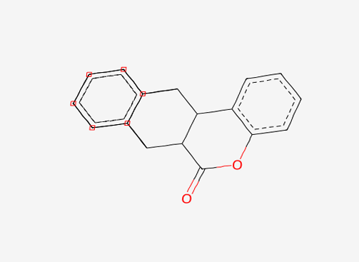 O=C1Oc2ccccc2C2C3c4ccccc4C(c4ccccc43)C12